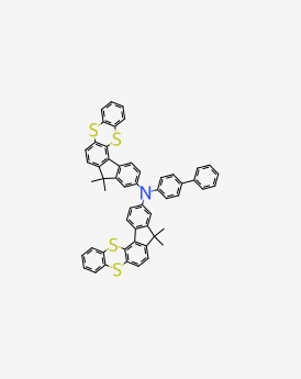 CC1(C)c2cc(N(c3ccc(-c4ccccc4)cc3)c3ccc4c(c3)C(C)(C)c3ccc5c(c3-4)Sc3ccccc3S5)ccc2-c2c1ccc1c2Sc2ccccc2S1